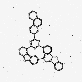 CC1C=C(c2ccc3oc4cccc(-c5nc(-c6ccccc6)nc(-c6ccc7c(ccc8ccccc87)c6)n5)c4c3c2)C=C2c3ccccc3SC21